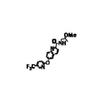 COC(C)CNC(=O)c1ccc2cc(Oc3ccc(C(F)(F)F)cn3)ccc2n1